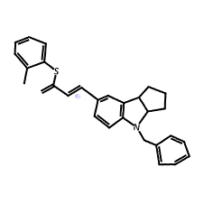 C=C(/C=C/c1ccc2c(c1)C1CCCC1N2Cc1ccccc1)Sc1ccccc1C